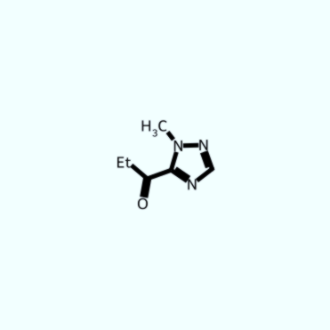 CCC(=O)c1ncnn1C